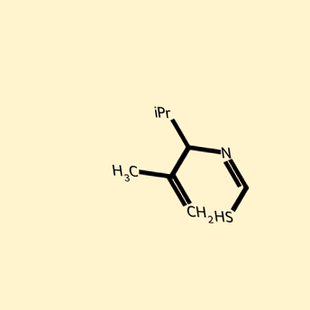 C=C(C)C(/N=C\S)C(C)C